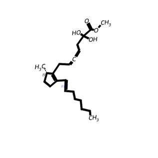 CCCCCC/C=C/C1=C(CC=C=CCC(O)(O)C(=O)OC)[C@@H](C)CC1